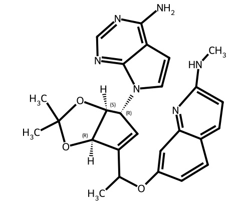 CNc1ccc2ccc(OC(C)C3=C[C@@H](n4ccc5c(N)ncnc54)[C@@H]4OC(C)(C)O[C@H]34)cc2n1